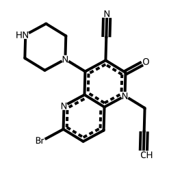 C#CCn1c(=O)c(C#N)c(N2CCNCC2)c2nc(Br)ccc21